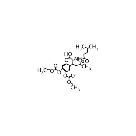 CCOC(=O)Oc1ccc(C(CC(C)OC(=O)CCC(C)C)[C@H](N)C(=O)O)cc1OC(=O)OCC